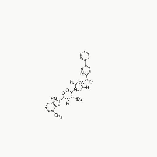 Cc1cccc2[nH]c(C(=O)N[C@H](C(=O)N3C[C@@H]4C[C@H]3CN4C(=O)c3ccc(-c4ccccc4)cn3)C(C)(C)C)cc12